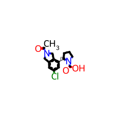 CC(=O)N1Cc2cc(Cl)cc([C@@H]3CCCN3C(=O)O)c2C1